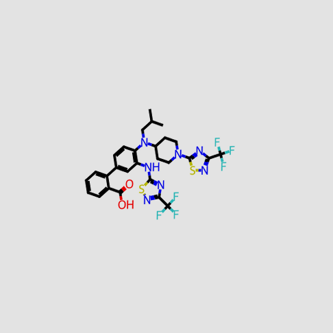 CC(C)CN(c1ccc(-c2ccccc2C(=O)O)cc1Nc1nc(C(F)(F)F)ns1)C1CCN(c2nc(C(F)(F)F)ns2)CC1